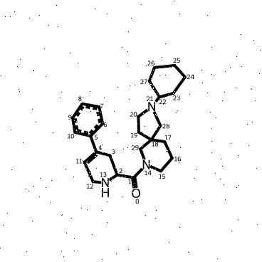 O=C(C1CC(c2ccccc2)=CCN1)N1CCCC2(CCN(C3CCCCC3)C2)C1